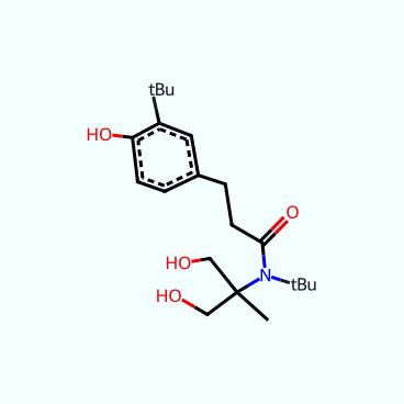 CC(C)(C)c1cc(CCC(=O)N(C(C)(C)C)C(C)(CO)CO)ccc1O